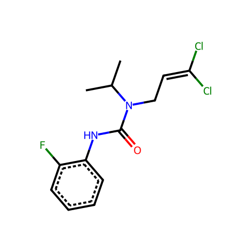 CC(C)N(CC=C(Cl)Cl)C(=O)Nc1ccccc1F